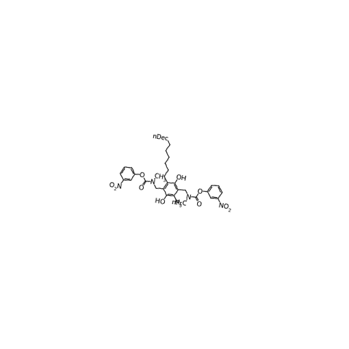 CCCCCCCCCCCCCCCCc1c(O)c(CN(C)C(=O)Oc2cccc([N+](=O)[O-])c2)c(CCC)c(O)c1CN(C)C(=O)Oc1cccc([N+](=O)[O-])c1